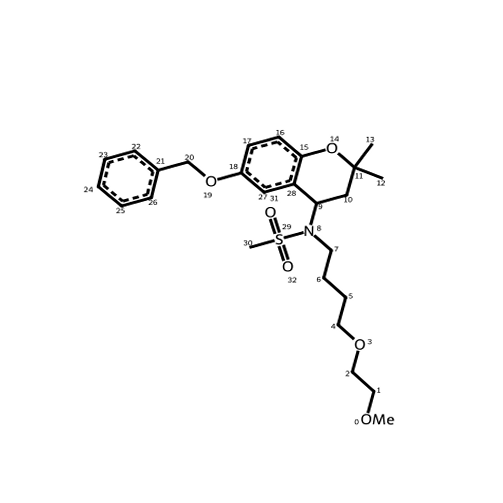 COCCOCCCCN(C1CC(C)(C)Oc2ccc(OCc3ccccc3)cc21)S(C)(=O)=O